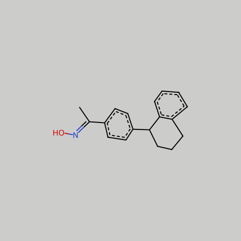 CC(=NO)c1ccc(C2CCCc3ccccc32)cc1